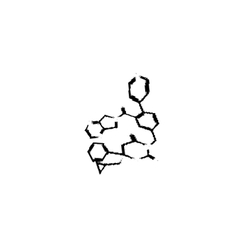 N=C1N[C@](CC2CC2)(c2ccccc2)CC(=O)N1Cc1ccc(-c2ccncc2)c(C(=O)N2Cc3nccnc3C2)c1